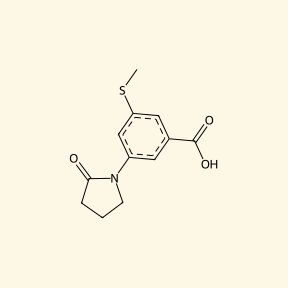 CSc1cc(C(=O)O)cc(N2CCCC2=O)c1